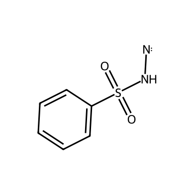 [N]NS(=O)(=O)c1ccccc1